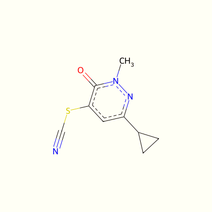 Cn1nc(C2CC2)cc(SC#N)c1=O